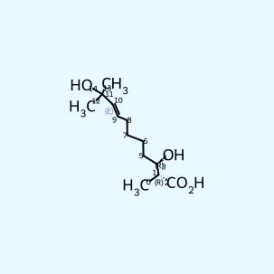 C[C@@H](C(=O)O)[C@H](O)CCCC/C=C/C(C)(C)O